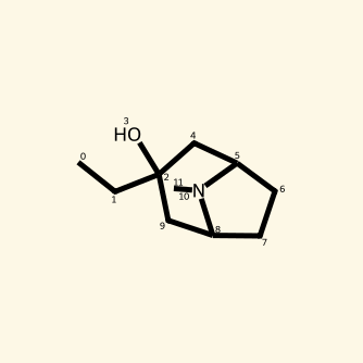 CCC1(O)CC2CCC(C1)N2C